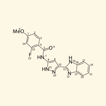 COc1ccc(C(=O)Nc2cc(-c3nc4ccccc4[nH]3)n[nH]2)c(F)c1